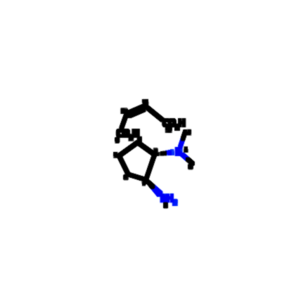 CN(C)[C@H]1CCC[C@@H]1N.O=C(O)/C=C\C(=O)O